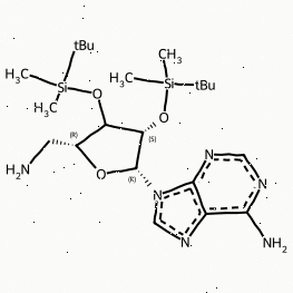 CC(C)(C)[Si](C)(C)OC1[C@@H](CN)O[C@@H](n2cnc3c(N)ncnc32)[C@H]1O[Si](C)(C)C(C)(C)C